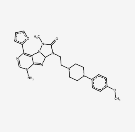 COc1ccc(N2CCN(CCN3C(=O)N(C)N4C5=C(c6ccco6)N=CN(N)C5=NC34)CC2)cc1